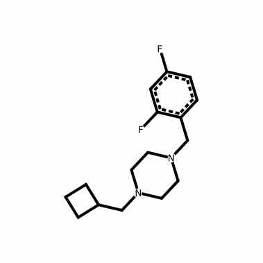 Fc1ccc(CN2CCN(CC3CCC3)CC2)c(F)c1